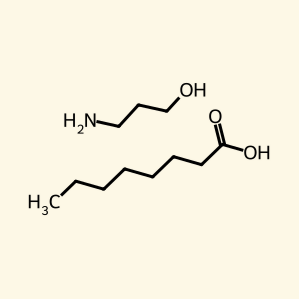 CCCCCCCC(=O)O.NCCCO